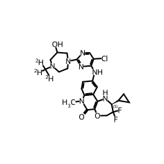 [2H]C([2H])([2H])N1CCN(c2ncc(Cl)c(Nc3ccc4c(c3)c3c(c(=O)n4C)OCC(F)(F)[C@H](C4CC4)N3)n2)CC(O)C1